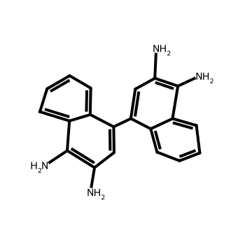 Nc1cc(-c2cc(N)c(N)c3ccccc23)c2ccccc2c1N